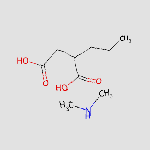 CCCC(CC(=O)O)C(=O)O.CNC